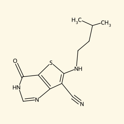 CC(C)CCNc1sc2c(=O)[nH]cnc2c1C#N